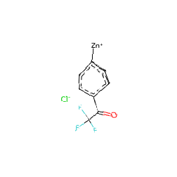 O=C(c1cc[c]([Zn+])cc1)C(F)(F)F.[Cl-]